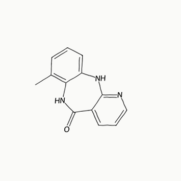 Cc1cccc2c1NC(=O)c1cccnc1N2